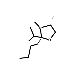 CCCC[C@@]1(C(C)C)OC[C@@H](C)N1C